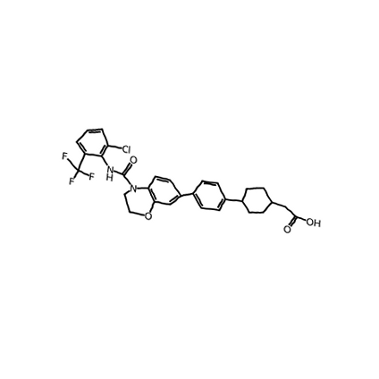 O=C(O)CC1CCC(c2ccc(-c3ccc4c(c3)OCCN4C(=O)Nc3c(Cl)cccc3C(F)(F)F)cc2)CC1